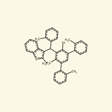 CCc1c(-c2ccccc2C)cc(-c2ccccc2C)c(C)c1B(c1ccccc1C)c1c(C)sc2ccccc12